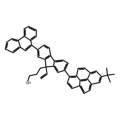 C=CC1(CCCO)c2cc(-c3cc4ccccc4c4ccccc34)ccc2-c2ccc(-c3ccc4ccc5cc(C(C)(C)C)cc6ccc3c4c56)cc21